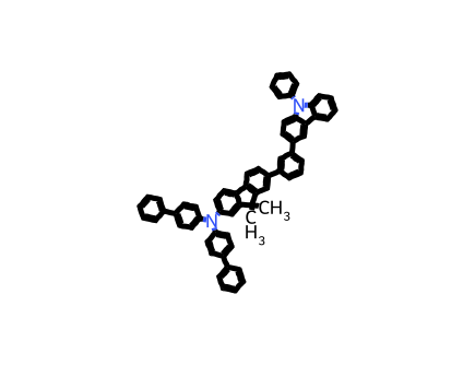 CC1(C)c2cc(-c3cccc(-c4ccc5c(c4)c4ccccc4n5-c4ccccc4)c3)ccc2-c2ccc(N(c3ccc(-c4ccccc4)cc3)c3ccc(-c4ccccc4)cc3)cc21